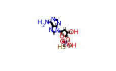 Nc1ncnc2c1ncn2[C@H]1C[C@@H](O)[C@@H](OP(=O)(O)S)O1